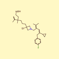 C=C(C)C(C)(CCCC1(CC)CN(CC(/C=C(\Cc2ccc(F)cc2)C2CC2)=C(C)C)C1)CCNC